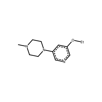 CCOc1cncc(N2CCN(C)CC2)c1